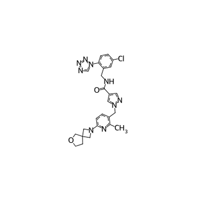 Cc1nc(N2CC3(CCOC3)C2)ccc1Cn1cc(C(=O)NCc2cc(Cl)ccc2-n2cnnn2)cn1